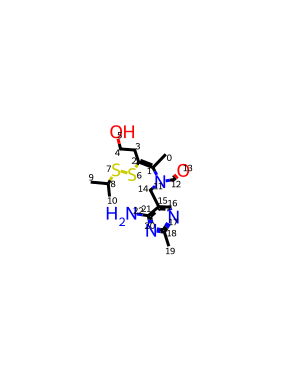 CC(=C(CCO)SSC(C)C)N(C=O)Cc1cnc(C)nc1N